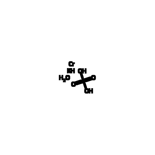 O.O=S(=O)(O)O.[Cr].[KH]